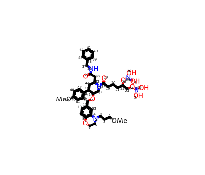 COCCCN1CCOc2ccc(COC3CN(C(=O)CCCC(CON(O)O)ON(O)O)C(CC(=O)NCc4ccccc4)CC3c3ccc(OC)cc3)cc21